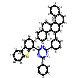 c1ccc(-c2nc(-c3cccc(-c4cc5ccc6ccccc6c5c5ccc6ccccc6c45)c3)nc(-c3cccc4c3sc3ccccc34)n2)cc1